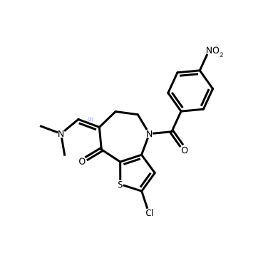 CN(C)/C=C1/CCN(C(=O)c2ccc([N+](=O)[O-])cc2)c2cc(Cl)sc2C1=O